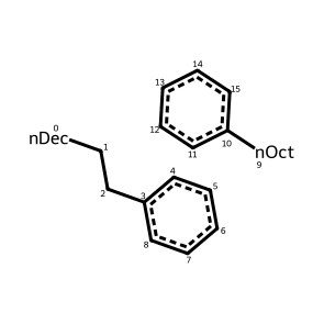 CCCCCCCCCCCCc1ccccc1.CCCCCCCCc1ccccc1